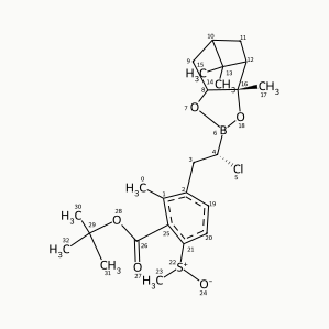 Cc1c(C[C@@H](Cl)B2OC3CC4CC(C4(C)C)[C@]3(C)O2)ccc([S+](C)[O-])c1C(=O)OC(C)(C)C